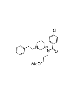 COCCCN(C(=O)c1ccc(Cl)cc1)[C@H]1CCCN(CCc2ccccc2)C1